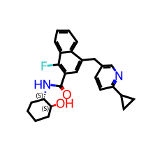 O=C(N[C@H]1CCCC[C@@H]1O)c1cc(Cc2ccc(C3CC3)nc2)c2ccccc2c1F